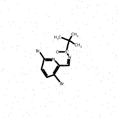 CC(C)(C)[S+]([O-])/N=C\c1nc(Br)ccc1Br